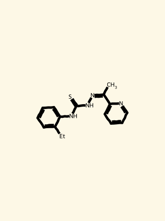 CCc1ccccc1NC(=S)NN=C(C)c1ccccn1